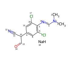 CN(C)C=Nc1c(Cl)cc(C(C#N)C=O)cc1Cl.[NaH]